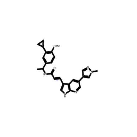 COc1ccc(C(C)NC(=O)/C=C/c2c[nH]c3ncc(-c4cnn(C)c4)cc23)cc1C1CC1